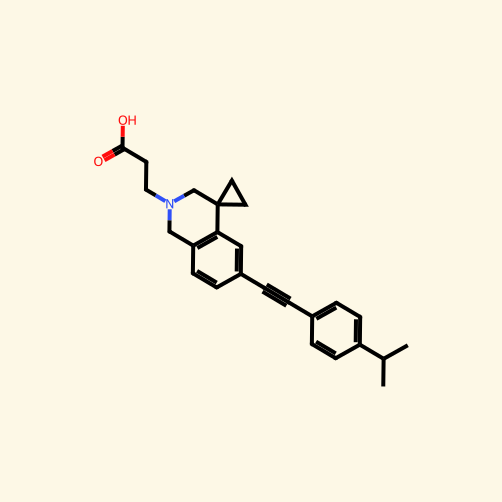 CC(C)c1ccc(C#Cc2ccc3c(c2)C2(CC2)CN(CCC(=O)O)C3)cc1